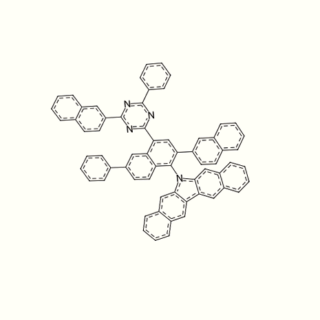 c1ccc(-c2ccc3c(-n4c5cc6ccccc6cc5c5cc6ccccc6cc54)c(-c4ccc5ccccc5c4)cc(-c4nc(-c5ccccc5)nc(-c5ccc6ccccc6c5)n4)c3c2)cc1